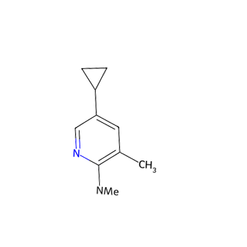 CNc1ncc(C2CC2)cc1C